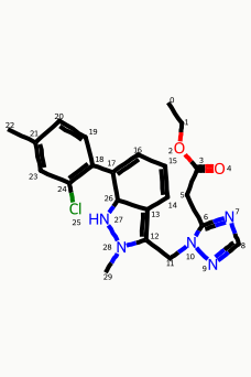 CCOC(=O)Cc1ncnn1CC1=C2C=CC=C(c3ccc(C)cc3Cl)C2NN1C